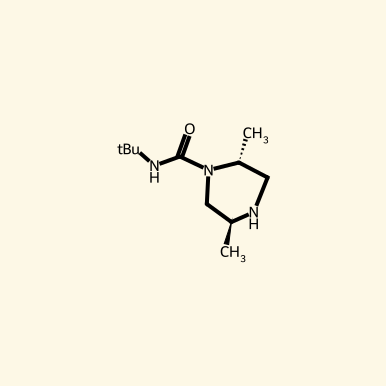 C[C@@H]1CN[C@@H](C)CN1C(=O)NC(C)(C)C